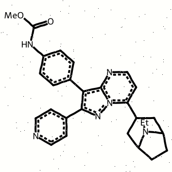 CCN1C2CCC1CC(c1ccnc3c(-c4ccc(NC(=O)OC)cc4)c(-c4ccncc4)nn13)C2